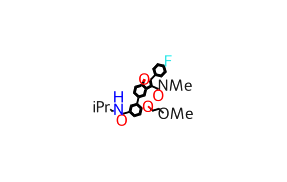 CNC(=O)c1c(-c2ccc(F)cc2)oc2ccc(-c3cc(C(=O)NCC(C)C)ccc3OCCOC)cc12